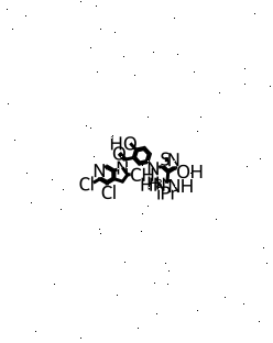 CC(C)NC(=N)c1c(O)nsc1Nc1ccc(O)c(C(=O)N2c3cnc(Cl)c(Cl)c3CC2C)c1